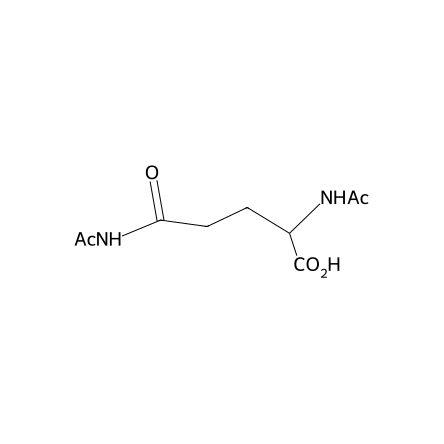 CC(=O)NC(=O)CCC(NC(C)=O)C(=O)O